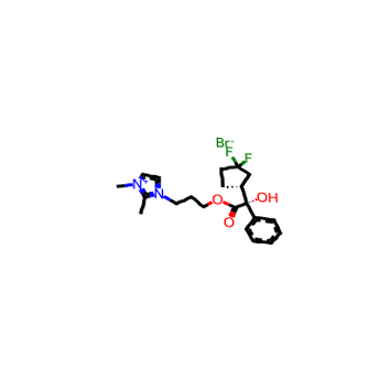 Cc1n(CCCOC(=O)[C@](O)(c2ccccc2)[C@@H]2CCC(F)(F)C2)cc[n+]1C.[Br-]